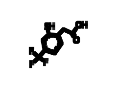 O=C(O)Cc1ccc(C(F)(F)F)cc1S